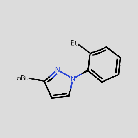 CCCCc1c[c]n(-c2ccccc2CC)n1